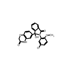 COc1ccc(Cl)cc1N1C(=O)c2ccccc2C1(O)c1ccc2c(c1)NC(=O)CO2